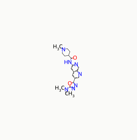 CN1CCC(C(=O)Nc2cc3cc(-c4nnc(N(C)C)o4)cnc3cn2)CC1